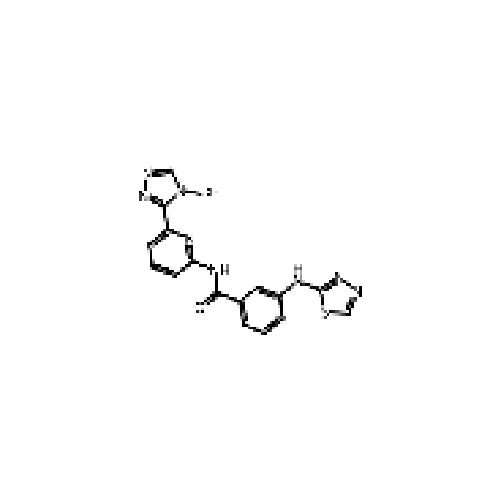 CC(C)n1cnnc1-c1cccc(NC(=O)c2cccc(Nc3nncs3)c2)n1